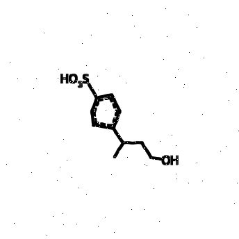 CC(CCO)c1ccc(S(=O)(=O)O)cc1